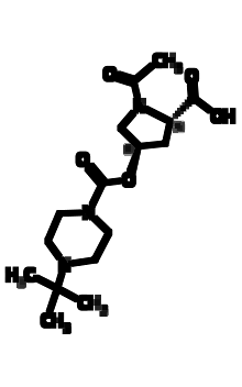 CC(=O)N1C[C@H](OC(=O)N2CCN(C(C)(C)C)CC2)C[C@H]1C(=O)O